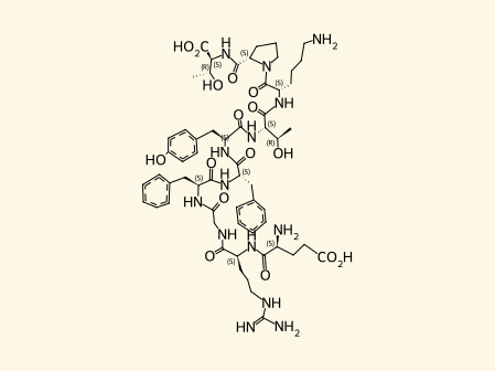 C[C@@H](O)[C@H](NC(=O)[C@@H]1CCCN1C(=O)[C@H](CCCCN)NC(=O)[C@@H](NC(=O)[C@H](Cc1ccc(O)cc1)NC(=O)[C@H](Cc1ccccc1)NC(=O)[C@H](Cc1ccccc1)NC(=O)CNC(=O)[C@H](CCCNC(=N)N)NC(=O)[C@@H](N)CCC(=O)O)[C@@H](C)O)C(=O)O